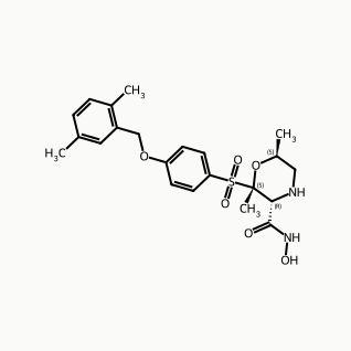 Cc1ccc(C)c(COc2ccc(S(=O)(=O)[C@]3(C)O[C@@H](C)CN[C@@H]3C(=O)NO)cc2)c1